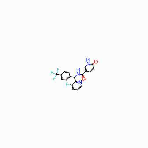 O=C(NC(c1ccc(C(F)(F)F)cc1)c1ncccc1F)c1ccc(=O)[nH]c1